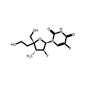 C[C@H]1[C@H](F)[C@H](n2cc(F)c(=O)[nH]c2=O)O[C@@]1(CO)CCO